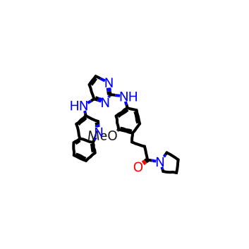 COc1cc(Nc2nccc(Nc3cnc4ccccc4c3)n2)ccc1CCC(=O)N1CCCC1